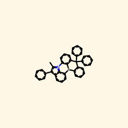 Cc1c(-c2ccccc2)c2cccc3c2n1-c1cccc2c1B3c1ccccc1C2(c1ccccc1)c1ccccc1